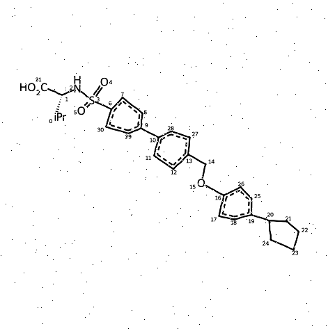 CC(C)[C@@H](NS(=O)(=O)c1ccc(-c2ccc(COc3ccc(C4CCCC4)cc3)cc2)cc1)C(=O)O